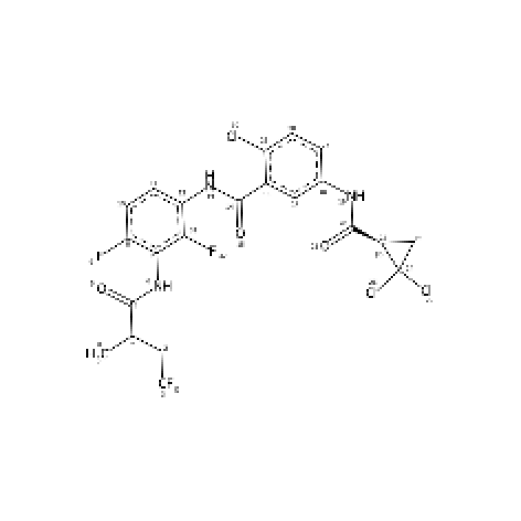 CC(CC(F)(F)F)C(=O)Nc1c(F)ccc(NC(=O)c2cc(NC(=O)[C@H]3CC3(Cl)Cl)ccc2Cl)c1F